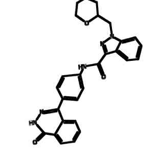 O=C(Nc1ccc(-c2n[nH]c(=O)c3ccccc23)cc1)c1nn(CC2CCCCO2)c2ccccc12